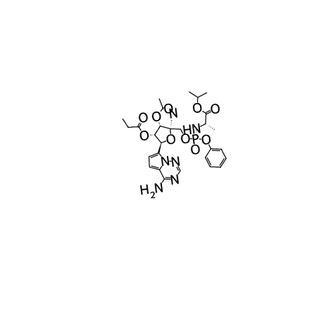 CCC(=O)O[C@H]1[C@H](c2ccc3c(N)ncnn23)O[C@](C#N)(CO[P@@](=O)(N[C@@H](C)C(=O)OC(C)C)Oc2ccccc2)[C@H]1OC(C)=O